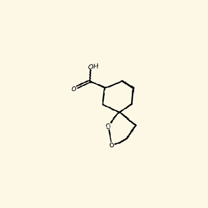 O=C(O)C1CCCC2(CCOO2)C1